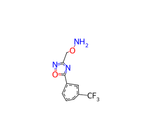 NOCc1noc(-c2cccc(C(F)(F)F)c2)n1